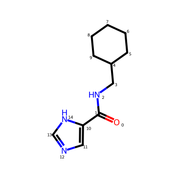 O=C(NCC1CCCCC1)c1cnc[nH]1